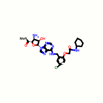 CNC(=O)[C@H]1O[C@@H](n2cnc3c(NCc4cc(Cl)ccc4OCC(=O)NC4CCCCC4)ncnc32)[C@H](O)[C@@H]1N